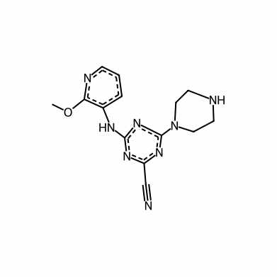 COc1ncccc1Nc1nc(C#N)nc(N2CCNCC2)n1